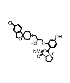 CNC(=O)[C@@H]1CCC[N+]1(C)C(=O)c1ccc(O)cc1OC[C@@H](O)CN1CCC2(CC1)OCc1cc(Cl)ccc12